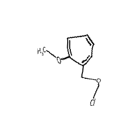 COc1ccccc1COCl